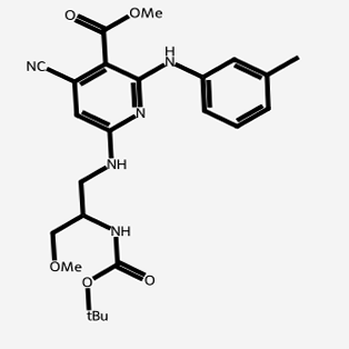 COCC(CNc1cc(C#N)c(C(=O)OC)c(Nc2cccc(C)c2)n1)NC(=O)OC(C)(C)C